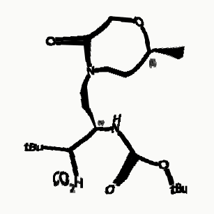 C[C@H]1CN(C[C@@H](NC(=O)OC(C)(C)C)C(C(=O)O)C(C)(C)C)C(=O)CO1